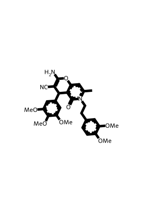 COc1ccc(CCn2c(C)cc3c(c2=O)C(c2cc(OC)c(OC)c(OC)c2)C(C#N)=C(N)O3)cc1OC